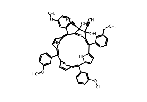 C#CC1(O)c2nc(c(-c3cccc(OC)c3)c3ccc([nH]3)c(-c3cccc(OC)c3)c3nc(c(-c4cccc(OC)c4)c4ccc([nH]4)c2-c2cccc(OC)c2)C=C3)C1(O)C#C